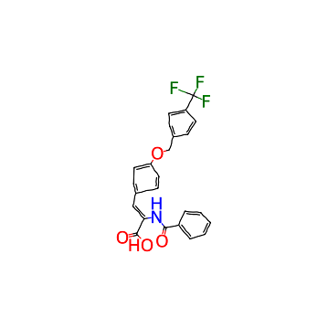 O=C(O)/C(=C/c1ccc(OCc2ccc(C(F)(F)F)cc2)cc1)NC(=O)c1ccccc1